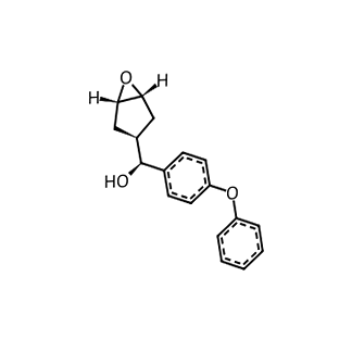 O[C@H](c1ccc(Oc2ccccc2)cc1)[C@H]1C[C@@H]2O[C@@H]2C1